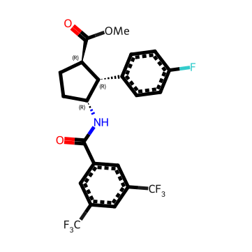 COC(=O)[C@@H]1CC[C@@H](NC(=O)c2cc(C(F)(F)F)cc(C(F)(F)F)c2)[C@H]1c1ccc(F)cc1